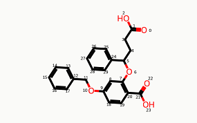 O=C(O)CCC(Oc1cc(OCc2ccccc2)ccc1C(=O)O)c1ccccc1